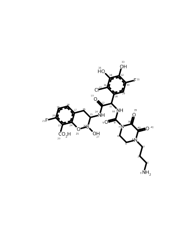 NCCCN1CCN(C(=O)NC(C(=O)NC2Cc3ccc(F)c(C(=O)O)c3OB2O)c2cc(F)c(O)c(O)c2Cl)C(=O)C1=O